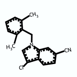 Cc1cccc(C)c1Cn1cc(Cl)c2ccc(C#N)cc21